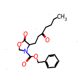 CCCCC(=O)CCC1C(=O)OCN1C(=O)OCc1ccccc1